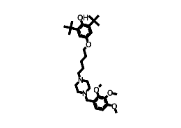 COc1ccc(CN2CCN(CCCCCOc3cc(C(C)(C)C)c(O)c(C(C)(C)C)c3)CC2)c(OC)c1OC